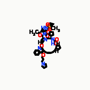 C=C[C@@H]1C[C@]1(NC(=O)[C@@H]1C[C@@H]2CN1C(=O)[C@H](C1CCCC1)NC(=O)O[C@@H]1CCC[C@H]1CCC=CCc1c(nc3ccccc3c1OCCCN1CCCC1)O2)C(=O)NS(=O)(=O)C1(C)CC1